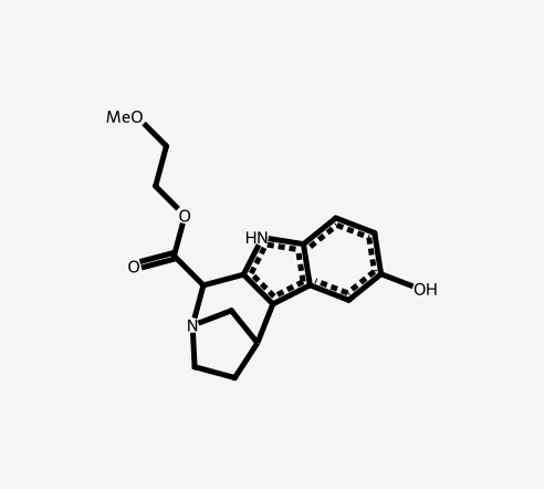 COCCOC(=O)C1c2[nH]c3ccc(O)cc3c2C2CCN1C2